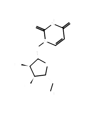 O=c1ccn(O[C@@H]2O[C@H](CO)[C@@H](O)[C@H]2O)c(=O)[nH]1